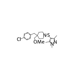 COCC1(Cc2ccc(Cl)cc2)CCN(Sc2c(C)nn(C)c2C)CC1